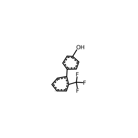 Oc1ccc(-c2cc[c]cc2C(F)(F)F)cc1